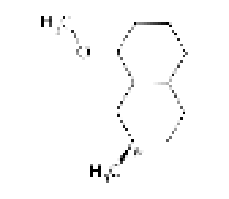 COC1CCCC2CC[C@@H](C)CC21